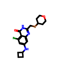 O=c1[nH]c(CSC2CCOCC2)nc2cc(NC3CCC3)cc(F)c12